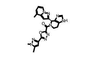 Cc1cccn2nc([C@H]3c4nc[nH]c4CCN3C(=O)c3nnc(-c4cc(C)n(C)n4)o3)cc12